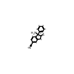 N#Cc1ccc2c(c1)CC(F)C2(N)c1ccccc1